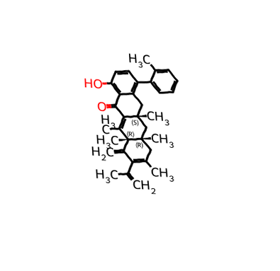 C=C(C)C1=C(C)C[C@@]2(C)C[C@@]3(C)Cc4c(-c5ccccc5C)ccc(O)c4C(=O)C3=C(C)[C@@]2(C)C1=C